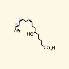 CCC/C=C/C=C\C/C=C\CCC(O)CCCCC(=O)O